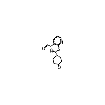 O=CC1N=C(N2CCC(=O)CC2)Sc2ncccc21